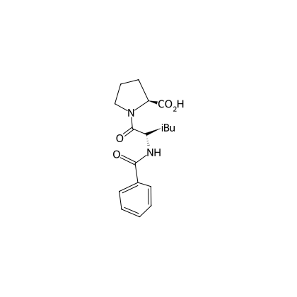 CC[C@H](C)[C@H](NC(=O)c1ccccc1)C(=O)N1CCC[C@H]1C(=O)O